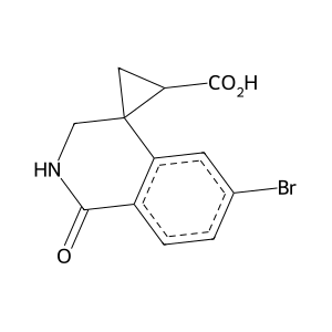 O=C1NCC2(CC2C(=O)O)c2cc(Br)ccc21